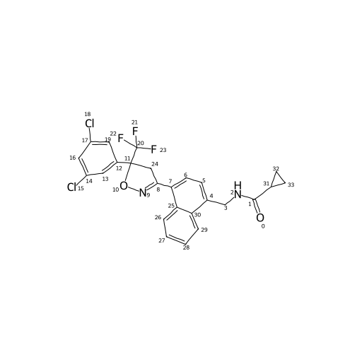 O=C(NCc1ccc(C2=NOC(c3cc(Cl)cc(Cl)c3)(C(F)(F)F)C2)c2ccccc12)C1CC1